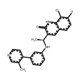 Cc1cnccc1-c1cccc(N[C@@H](C)c2cc3ccc(F)c(Cl)c3[nH]c2=O)c1